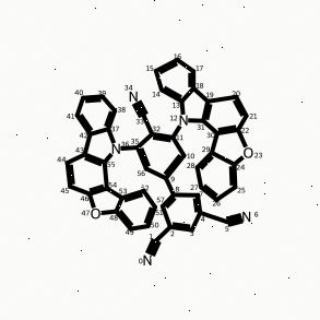 N#Cc1cc(C#N)cc(-c2cc(-n3c4ccccc4c4ccc5oc6ccccc6c5c43)c(C#N)c(-n3c4ccccc4c4ccc5oc6ccccc6c5c43)c2)c1